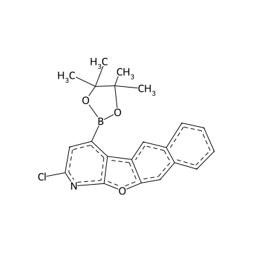 CC1(C)OB(c2cc(Cl)nc3oc4cc5ccccc5cc4c23)OC1(C)C